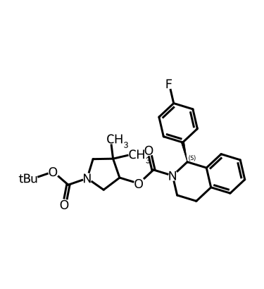 CC(C)(C)OC(=O)N1CC(OC(=O)N2CCc3ccccc3[C@@H]2c2ccc(F)cc2)C(C)(C)C1